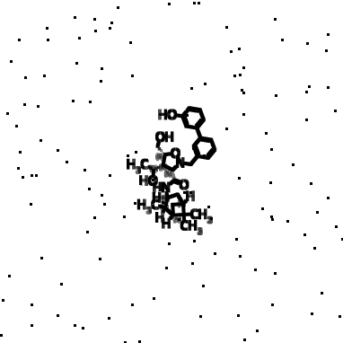 C[C@@H]1[C@@H](NC(=O)[C@@H]2[C@H]([C@H](C)O)[C@H](CO)ON2Cc2cccc(-c3cccc(O)c3)c2)C[C@H]2C[C@@H]1C2(C)C